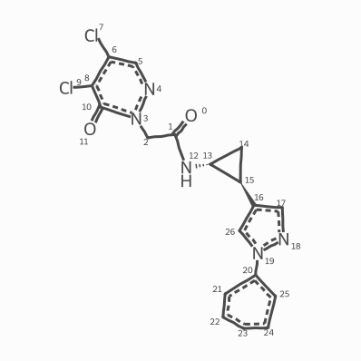 O=C(Cn1ncc(Cl)c(Cl)c1=O)N[C@@H]1C[C@H]1c1cnn(-c2ccccc2)c1